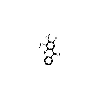 COc1c(F)cc(C(=O)c2ccccc2)c(F)c1OC